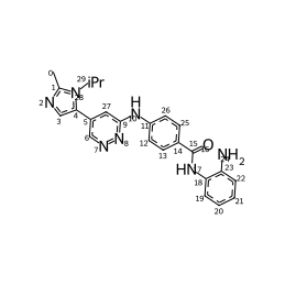 Cc1ncc(-c2cnnc(Nc3ccc(C(=O)Nc4ccccc4N)cc3)c2)n1C(C)C